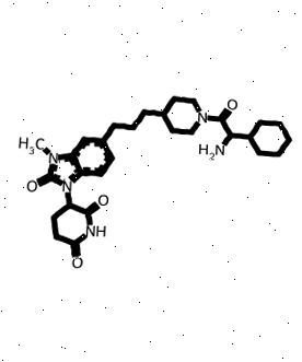 Cn1c(=O)n(C2CCC(=O)NC2=O)c2ccc(CCCC3CCN(C(=O)C(N)C4CCCCC4)CC3)cc21